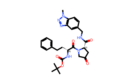 Cn1nnc2cc(CNC(=O)[C@@H]3CC(=O)CN3C(=O)[C@@H](CCc3ccccc3)NC(=O)OC(C)(C)C)ccc21